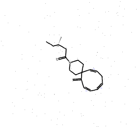 C=C1/C=C\C=C/C/C=C\C12CCN(C(=O)C[C@@H](C)CC)CC2